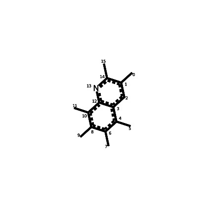 Cc1cc2c(C)c(C)c(C)c(C)c2nc1C